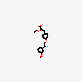 CCO/C(=C\c1ccc(OC[C@@H](F)c2cccc(OC)c2)cc1)C(=O)O